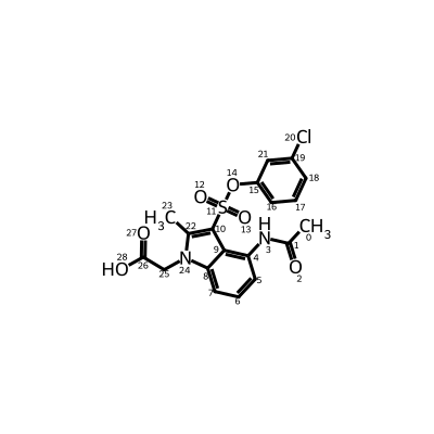 CC(=O)Nc1cccc2c1c(S(=O)(=O)Oc1cccc(Cl)c1)c(C)n2CC(=O)O